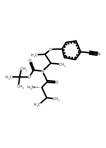 CC(Oc1ccc(C#N)cc1)C(C)N(C(=O)OC(C)(C)C)C(=O)[C@@H](N)C(C)C